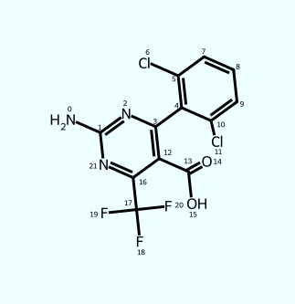 Nc1nc(-c2c(Cl)cccc2Cl)c(C(=O)O)c(C(F)(F)F)n1